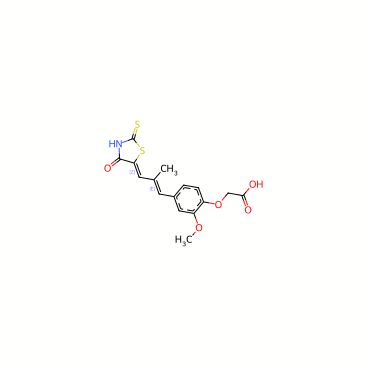 COc1cc(/C=C(C)/C=C2\SC(=S)NC2=O)ccc1OCC(=O)O